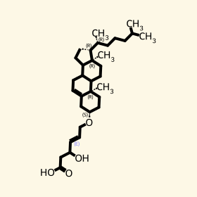 CC(C)CCC[C@@H](C)[C@H]1CCC2C3CC=C4C[C@@H](OC/C=C/C(O)CC(=O)O)CC[C@]4(C)C3CC[C@@]21C